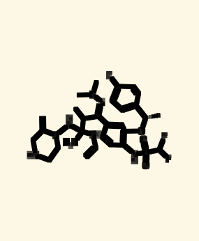 C=CNC(N)(NN1CCNCC1=C)C(C)/C(=N\N(C)C)c1ccc(NS(=O)(=O)C(F)F)c(O[C@@H](C)c2ccc(F)cc2)c1